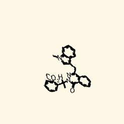 Cn1cc(Cc2nn(C(C)(C(=O)O)c3ccccc3)c(=O)c3ccccc23)c2ccccc21